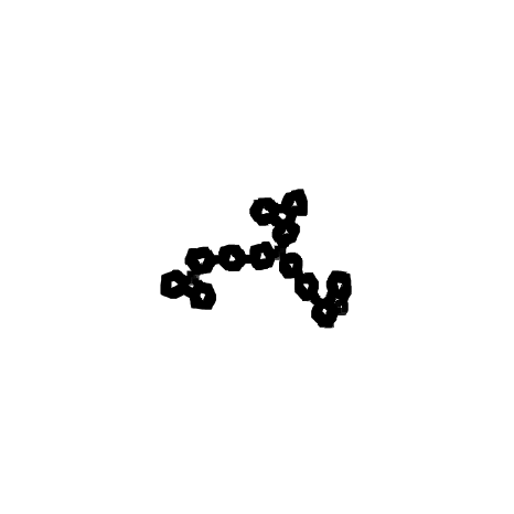 c1cc(-c2ccc(-c3ccc(N(c4ccc(-c5ccc(-c6cccc7oc8ccccc8c67)cc5)cc4)c4ccc5c6ccccc6c6ccccc6c5c4)cc3)cc2)cc(-n2c3ccccc3c3ccccc32)c1